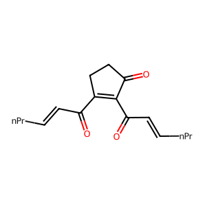 CCCC=CC(=O)C1=C(C(=O)C=CCCC)C(=O)CC1